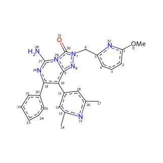 COc1cccc(Cn2nc3c(-c4cc(C)nc(C)c4)c(-c4ccccc4)nc(N)n3c2=O)n1